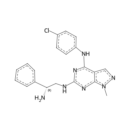 Cn1ncc2c(Nc3ccc(Cl)cc3)nc(NC[C@H](N)c3ccccc3)nc21